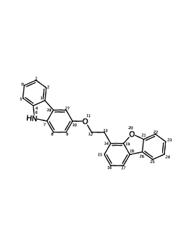 c1ccc2c(c1)[nH]c1ccc(OCCc3cccc4c3oc3ccccc34)cc12